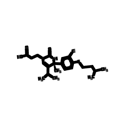 CC(C)CCSc1ccc([C@]2(C)NC(=O)N(CCC(=O)O)C=C2C(C)C)cc1Cl